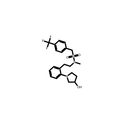 CN(CCc1ccccc1N1CCC(O)C1)S(=O)(=O)Cc1ccc(C(F)(F)F)cc1